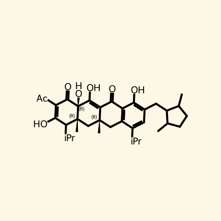 CC(=O)C1=C(O)C(C(C)C)[C@@]2(C)C[C@@]3(C)Cc4c(C(C)C)cc(CC5C(C)CCC5C)c(O)c4C(=O)C3=C(O)[C@@]2(O)C1=O